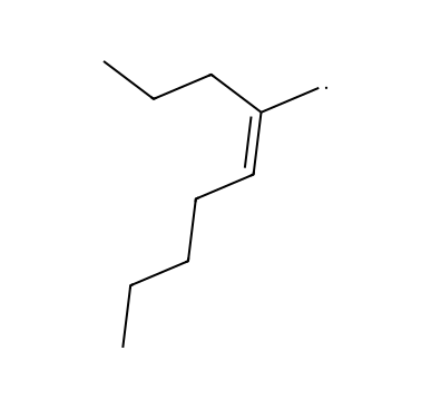 [CH2]C(=CCCCC)CCC